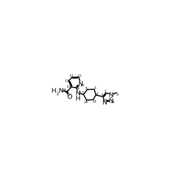 Cn1cc(C2CCC(Nc3ncccc3C(N)=O)CC2)nn1